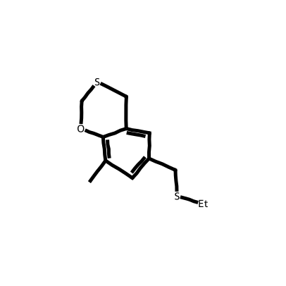 CCSCc1cc(C)c2c(c1)CSCO2